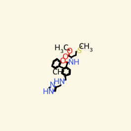 COC(=O)C(CCSC)NC(=O)c1ccc(CNCc2c[nH]cn2)cc1-c1ccccc1C